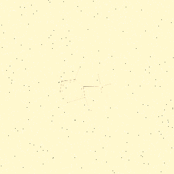 C[Si](C)(C)c1c(Br)ccc(F)c1F